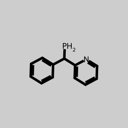 PC(c1ccccc1)c1ccccn1